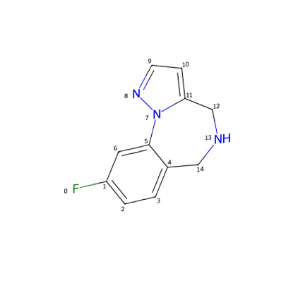 Fc1ccc2c(c1)-n1nccc1CNC2